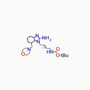 CC(C)(C)OC(=O)NC/C=C/Cn1c(N)nc2cccc(CN3CCOCC3)c21